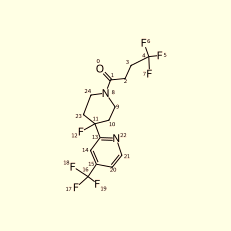 O=C(CCC(F)(F)F)N1CCC(F)(c2cc(C(F)(F)F)ccn2)CC1